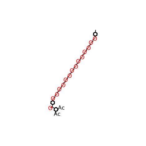 CC(=O)c1cc(C(C)=O)cc(C(=O)c2ccc(OCCOCCOCCOCCOCCOCCOCCOCCOCCOCCOCCOCCOCCOc3ccc(C)cc3)cc2)c1